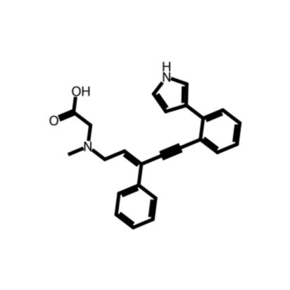 CN(CC=C(C#Cc1ccccc1-c1cc[nH]c1)c1ccccc1)CC(=O)O